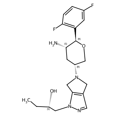 CC[C@H](O)Cn1ncc2c1CN([C@H]1CO[C@H](c3cc(F)ccc3F)[C@@H](N)C1)C2